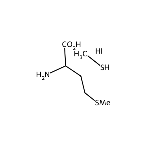 CS.CSCCC(N)C(=O)O.I